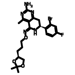 Cc1nc(N)nc2c1/C(=N/OCCC[C@H]1COC(C)(C)O1)N[C@@H](c1ccc(F)cc1Br)C2